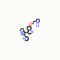 c1ccc(-c2nn3c(c2-c2ccnc4cc(OCCC5CCCN5)ccc24)CCC3)nc1